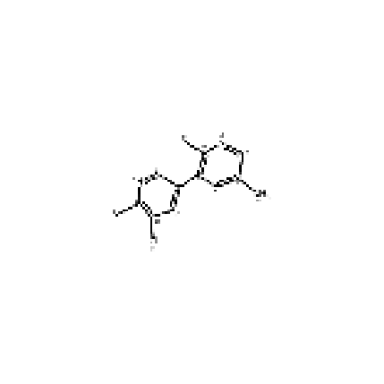 Cc1ncc(-c2cc(N)cnc2C)cc1Cl